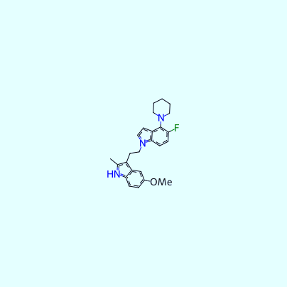 COc1ccc2[nH]c(C)c(CCn3ccc4c(N5CCCCC5)c(F)ccc43)c2c1